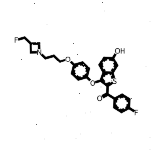 O=C(c1ccc(F)cc1)c1sc2cc(O)ccc2c1Oc1ccc(OCCCN2CC(CF)C2)cc1